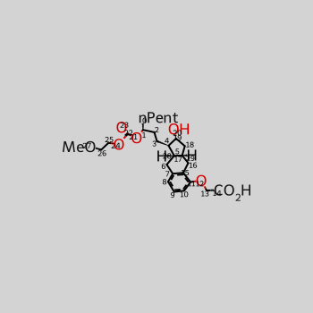 CCCCC[C@@H](CC[C@@H]1[C@H]2Cc3cccc(OCC(=O)O)c3C[C@H]2C[C@H]1O)OC(=O)OCCOC